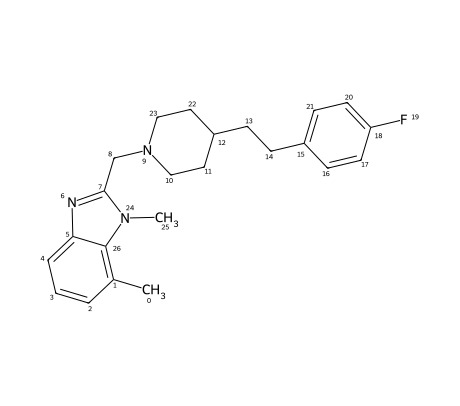 Cc1cccc2nc(CN3CCC(CCc4ccc(F)cc4)CC3)n(C)c12